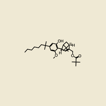 CCCCCCC(C)(C)c1cc(O)c([C@H]2C=C(COC(=O)C(C)(C)C)[C@H]3CC2C3(C)C)c(OC)c1